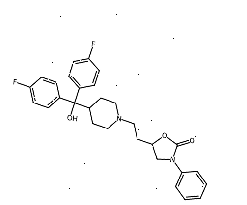 O=C1OC(CCN2CCC(C(O)(c3ccc(F)cc3)c3ccc(F)cc3)CC2)CN1c1ccccc1